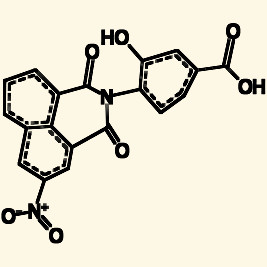 O=C(O)c1ccc(N2C(=O)c3cccc4cc([N+](=O)[O-])cc(c34)C2=O)c(O)c1